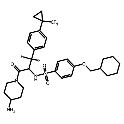 NC1CCN(C(=O)C(NS(=O)(=O)c2ccc(OCC3CCCCC3)cc2)C(F)(F)c2ccc(C3(C(F)(F)F)CC3)cc2)CC1